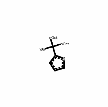 CCCCCCCCC(CCCC)(CCCCCCCC)c1cccs1